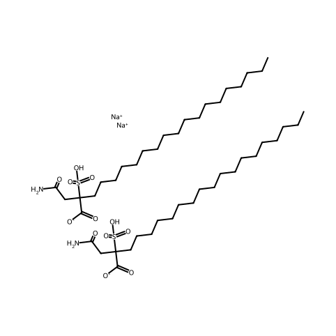 CCCCCCCCCCCCCCCCCCC(CC(N)=O)(C(=O)[O-])S(=O)(=O)O.CCCCCCCCCCCCCCCCCCC(CC(N)=O)(C(=O)[O-])S(=O)(=O)O.[Na+].[Na+]